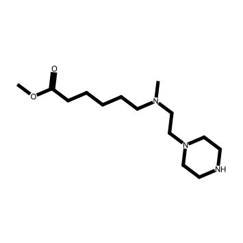 COC(=O)CCCCCN(C)CCN1CCNCC1